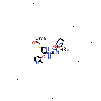 COC(=O)CSc1cnc(Nc2nc(C3CC4CCC(C3)N4C(=O)OC(C)(C)C)ns2)c(Oc2cccnc2C)c1